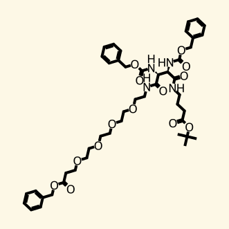 CC(C)(C)OC(=O)CCCNC(=O)[C@H](NC(=O)OCc1ccccc1)[C@@H](NC(=O)OCc1ccccc1)C(=O)NCCOCCOCCOCCOCCC(=O)OCc1ccccc1